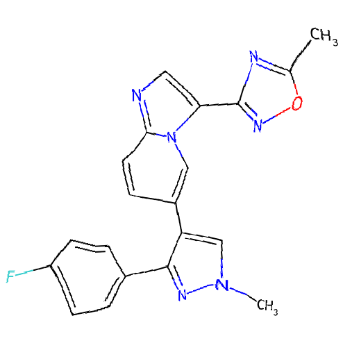 Cc1nc(-c2cnc3ccc(-c4cn(C)nc4-c4ccc(F)cc4)cn23)no1